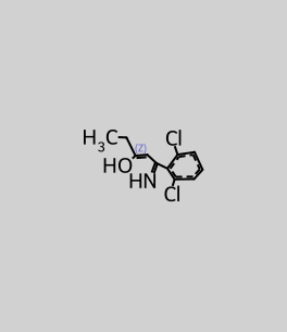 CC/C(O)=C/C(=N)c1c(Cl)cccc1Cl